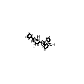 O=C(N1CCC[C@H]1CO)C1(OCc2cc(=O)n3nc(C4=CCCC=C4)nc3[nH]2)CCCCC1